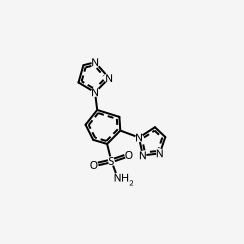 NS(=O)(=O)c1ccc(-n2ccnn2)cc1-n1ccnn1